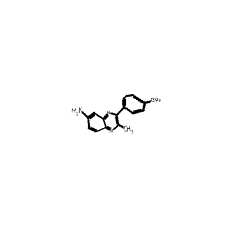 COc1ccc(-c2nc3cc(N)ccc3nc2C)cc1